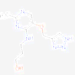 Cc1ncc(OCc2c[nH]nn2)c(NCCCO)n1